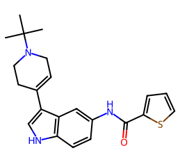 CC(C)(C)N1CC=C(c2c[nH]c3ccc(NC(=O)c4cccs4)cc23)CC1